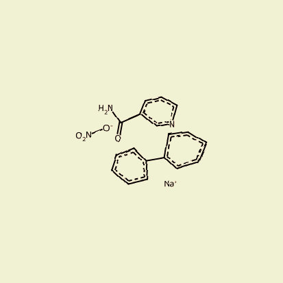 NC(=O)c1cccnc1.O=[N+]([O-])[O-].[Na+].c1ccc(-c2ccccc2)cc1